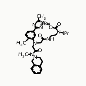 Cc1nc(-c2ccc(C)c(N(CC(=O)NCCN(C(=O)OC(C)(C)C)C(C)C)CC(=O)N(C)N3CCc4ccccc4C3)c2)no1